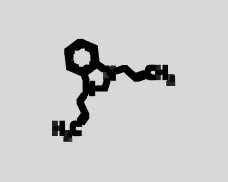 C=CCN1CN(CC=C)c2ccccc21